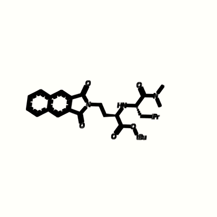 CC(C)C[C@H](N[C@H](CCN1C(=O)c2cc3ccccc3cc2C1=O)C(=O)OC(C)(C)C)C(=O)N(C)C